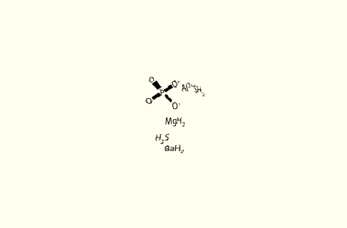 O=P([O-])([O-])[O-].S.S.[Al+3].[BaH2].[MgH2]